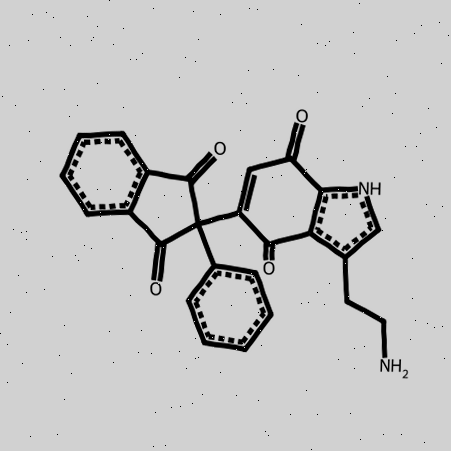 NCCc1c[nH]c2c1C(=O)C(C1(c3ccccc3)C(=O)c3ccccc3C1=O)=CC2=O